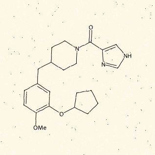 COc1ccc(CC2CCN(C(=O)c3c[nH]cn3)CC2)cc1OC1CCCC1